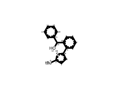 CC(C)(C)c1ccc(-c2ccccc2C(O)c2ccccc2)s1